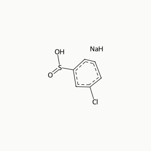 O=S(O)c1cccc(Cl)c1.[NaH]